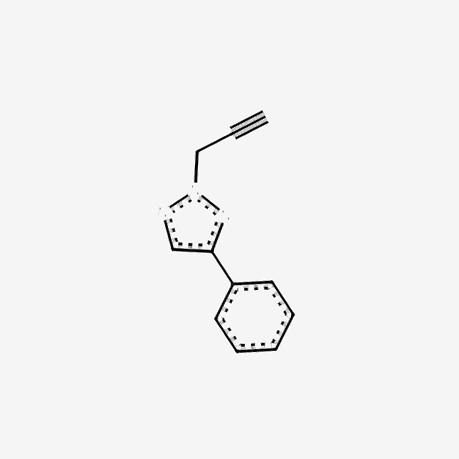 C#CCn1ncc(-c2ccccc2)n1